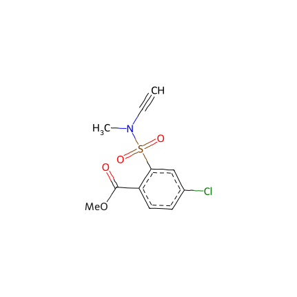 C#CN(C)S(=O)(=O)c1cc(Cl)ccc1C(=O)OC